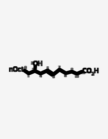 CCCCCCCCCC(O)C/C=C/CCCCC(=O)O